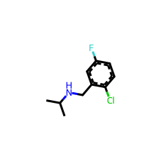 CC(C)NCc1cc(F)ccc1Cl